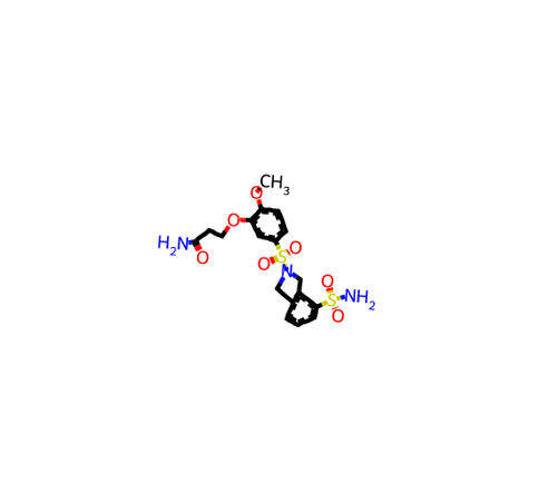 COc1ccc(S(=O)(=O)N2Cc3cccc(S(N)(=O)=O)c3C2)cc1OCCC(N)=O